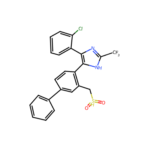 O=[SH](=O)Cc1cc(-c2ccccc2)ccc1-c1[nH]c(C(F)(F)F)nc1-c1ccccc1Cl